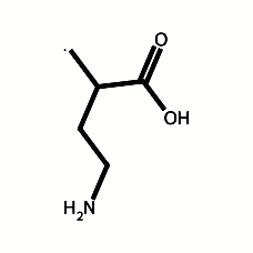 [CH2]C(CCN)C(=O)O